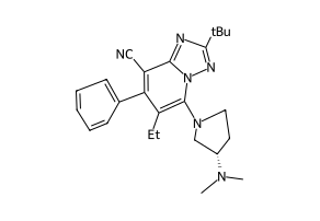 CCc1c(-c2ccccc2)c(C#N)c2nc(C(C)(C)C)nn2c1N1CC[C@H](N(C)C)C1